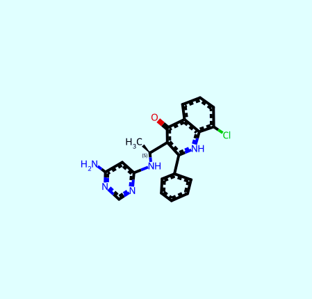 C[C@H](Nc1cc(N)ncn1)c1c(-c2ccccc2)[nH]c2c(Cl)cccc2c1=O